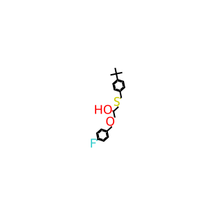 CC(C)(C)c1ccc(CSCC(O)COCc2ccc(F)cc2)cc1